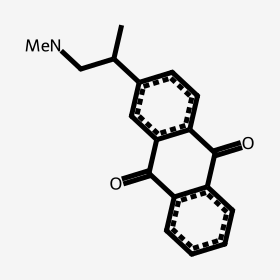 CNCC(C)c1ccc2c(c1)C(=O)c1ccccc1C2=O